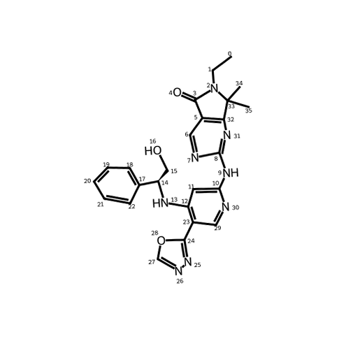 CCN1C(=O)c2cnc(Nc3cc(N[C@H](CO)c4ccccc4)c(-c4nnco4)cn3)nc2C1(C)C